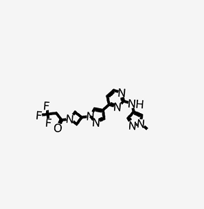 Cn1cc(Nc2nccc(-c3cnn(C4CN(C(=O)CC(F)(F)F)C4)c3)n2)cn1